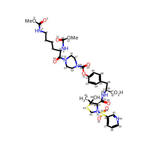 COC(=O)NCCCCC(NC(=O)OC)C(=O)N1CCN(C(=O)Oc2ccc(C[C@H](NC(=O)[C@H]3N(S(=O)(=O)c4cccnc4)CSC3(C)C)C(=O)O)cc2)CC1